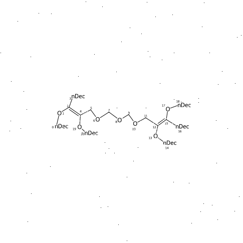 CCCCCCCCCCOC(CCCCCCCCCC)=C(COCOCOCC(OCCCCCCCCCC)=C(CCCCCCCCCC)OCCCCCCCCCC)OCCCCCCCCCC